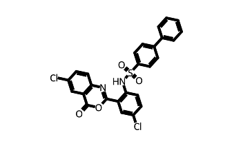 O=c1oc(-c2cc(Cl)ccc2NS(=O)(=O)c2ccc(-c3ccccc3)cc2)nc2ccc(Cl)cc12